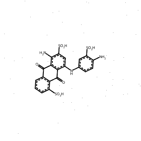 Nc1ccc(Nc2cc(S(=O)(=O)O)c(N)c3c2C(=O)c2c(cccc2S(=O)(=O)O)C3=O)cc1S(=O)(=O)O